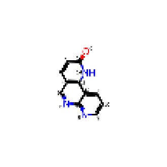 O=c1ccc2cnc3ncccc3c2[nH]1